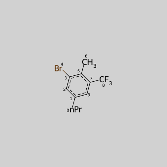 C[CH]Cc1cc(Br)c(C)c(C(F)(F)F)c1